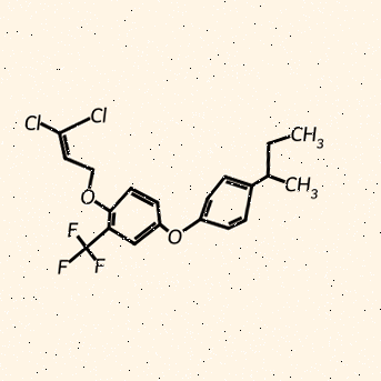 CCC(C)c1ccc(Oc2ccc(OCC=C(Cl)Cl)c(C(F)(F)F)c2)cc1